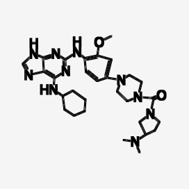 COc1cc(N2CCN(C(=O)N3CCC(N(C)C)C3)CC2)ccc1Nc1nc(NC2CCCCC2)c2nc[nH]c2n1